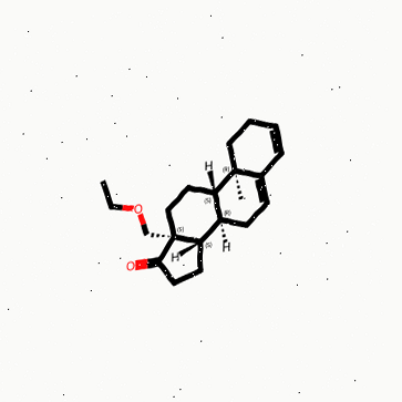 CCOC[C@]12CC[C@H]3[C@@H](CC=C4C=CCC[C@@]43C)[C@@H]1CCC2=O